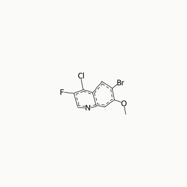 COc1cc2ncc(F)c(Cl)c2cc1Br